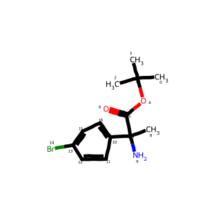 CC(C)(C)OC(=O)C(C)(N)c1ccc(Br)cc1